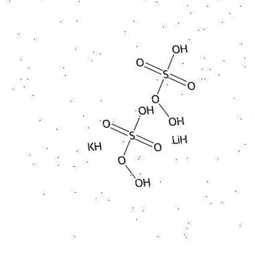 O=S(=O)(O)OO.O=S(=O)(O)OO.[KH].[LiH]